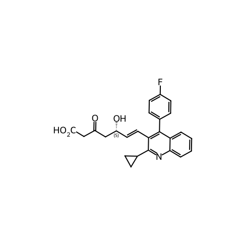 O=C(O)CC(=O)C[C@H](O)C=Cc1c(C2CC2)nc2ccccc2c1-c1ccc(F)cc1